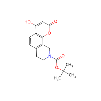 CC(C)(C)OC(=O)N1CCc2ccc3c(O)cc(=O)oc3c2C1